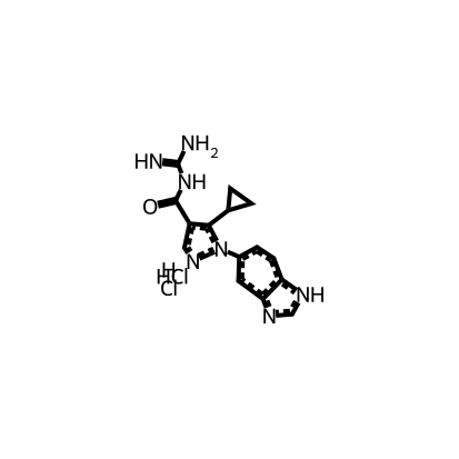 Cl.Cl.N=C(N)NC(=O)c1cnn(-c2ccc3[nH]cnc3c2)c1C1CC1